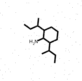 CCC(C)C1CCCC(C(C)CC)C1N